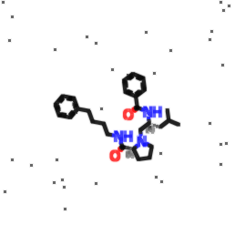 CC(C)C[C@H](CN1CCC[C@H]1C(=O)NCCCCc1ccccc1)NC(=O)c1ccccc1